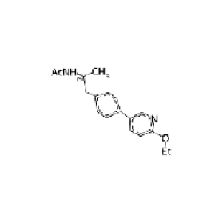 CCOc1ccc(-c2ccc(C[C@H](C)NC(C)=O)cc2)cn1